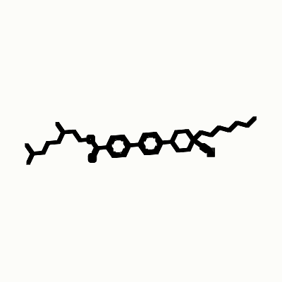 CCCCCCCC1(C#N)CCC(c2ccc(-c3ccc(C(=O)OCCC(C)CCCC(C)C)cc3)cc2)CC1